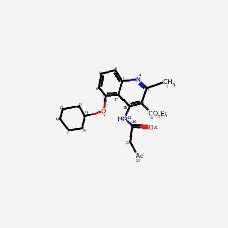 CCOC(=O)c1c(C)nc2cccc(OC3CCCCC3)c2c1NC(=O)CC(C)=O